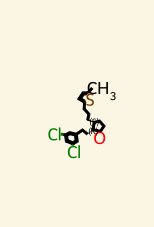 Cc1ccc(CCC[C@H]2CCC(=O)[C@@H]2CCc2cc(Cl)cc(Cl)c2)s1